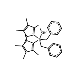 CC1=C(C)C(C)[C]([Ti]([CH2]c2ccccc2)([CH2]c2ccccc2)([C]2=C(C)C(C)=C(C)C2C)[SiH](C)C)=C1C